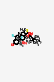 CC1C[C@H]2[C@@H]3C[C@H](F)C4=CC(=O)C=C[C@]4(C)[C@@]3(F)[C@@H](O)C[C@]2(C)[C@@]1(OC(=O)C1C(C)(C)C1(C)C)C(O)=S